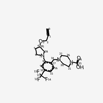 C#CCO[C@@H]1CCN(c2cc(C(F)(F)F)ccc2CN2CCN(C(=O)O)CC2)C1